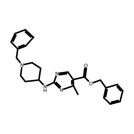 Cc1nc(NC2CCN(Cc3ccccc3)CC2)ncc1C(=O)OCc1ccccc1